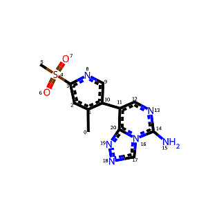 Cc1cc(S(C)(=O)=O)ncc1-c1cnc(N)n2cnnc12